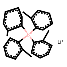 Cc1ccccc1[B-](c1ccccc1C)(c1ccccc1C)c1ccccc1C.[Li+]